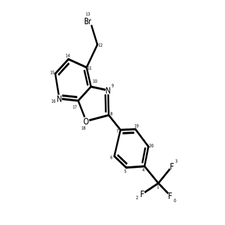 FC(F)(F)c1ccc(-c2nc3c(CBr)ccnc3o2)cc1